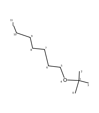 CC(C)(C)OCCCCCCI